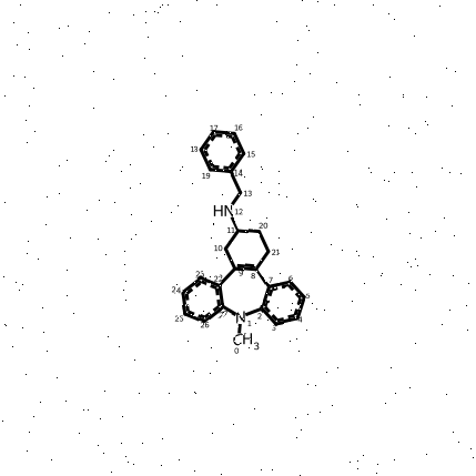 CN1c2ccccc2C2=C(CC(NCc3ccccc3)CC2)c2ccccc21